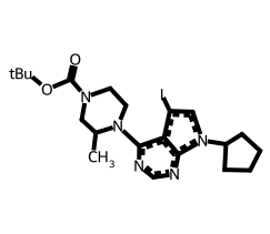 CC1CN(C(=O)OC(C)(C)C)CCN1c1ncnc2c1c(I)cn2C1CCCC1